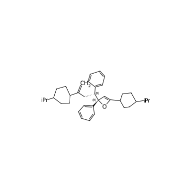 C=C(C[C@H](c1ccccc1)[C@]1(c2ccccc2)C=C(C2CCC(C(C)C)CC2)O1)C1CCC(C(C)C)CC1